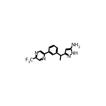 CC(c1cccc(-c2cnc(C(F)(F)F)cn2)c1)c1cc(N)[nH]n1